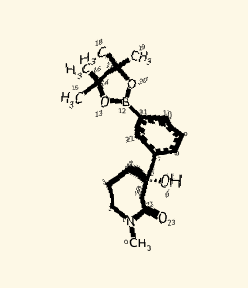 CN1CCC[C@@](O)(c2cccc(B3OC(C)(C)C(C)(C)O3)c2)C1=O